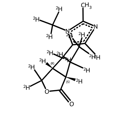 [2H]c1nc(C)n(C([2H])([2H])[2H])c1C([2H])([2H])[C@@]1([2H])C([2H])([2H])OC(=O)[C@@]1([2H])C([2H])([2H])C([2H])([2H])[2H]